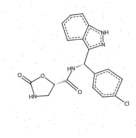 O=C1NC[C@@H](C(=O)N[C@@H](c2ccc(Cl)cc2)c2n[nH]c3ccccc23)O1